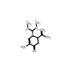 C=C(C)C1CC(=O)C(C)=C[C@H]1C(OC)OC